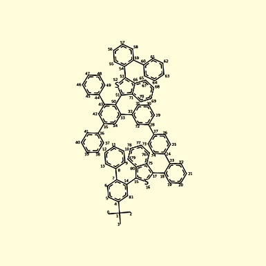 CC(C)(C)c1ccc(-c2ccccc2)c(-c2sc(-c3ccccc3-c3ccc(-c4cccc(-c5cc(-c6ccccc6)cc(-c6ccccc6)c5-c5sc(-c6ccccc6-c6ccccc6)c6ccccc56)c4)cc3)c3ccccc23)c1